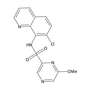 COc1cncc(S(=O)(=O)Nc2c(Cl)ccc3cccnc23)n1